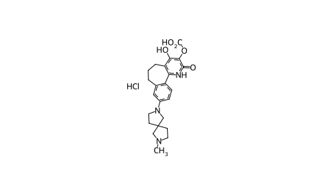 CN1CCC2(CCN(c3ccc4c(c3)CCCc3c-4[nH]c(=O)c(OC(=O)O)c3O)C2)C1.Cl